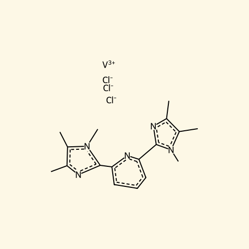 Cc1nc(-c2cccc(-c3nc(C)c(C)n3C)n2)n(C)c1C.[Cl-].[Cl-].[Cl-].[V+3]